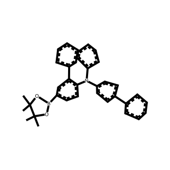 CC1(C)OB(c2ccc(N(c3ccccc3)c3ccc(-c4ccccc4)cc3)c(-c3ccccc3)c2)OC1(C)C